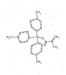 C=C(C)C(=O)O[Si](c1ccc(C)cc1)(c1ccc(C)cc1)c1ccc(C)cc1